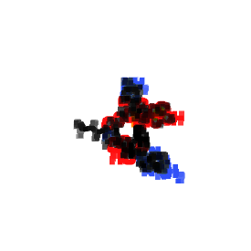 C=CCCC(=O)N(C)[C@H]1COC(C)(C)OP(=O)([C@H]2C[C@H](n3ccc(N)nc3=O)O[C@@H]2COP(=O)(O)O)OC[C@H]2O[C@@H](n3cnc4c(N)ncnc43)[C@H](O)[C@@H]2OC1=O